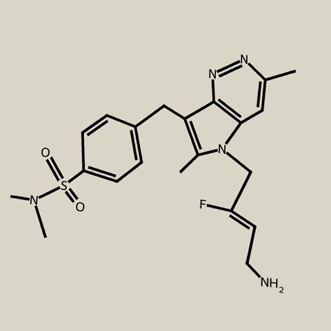 Cc1cc2c(nn1)c(Cc1ccc(S(=O)(=O)N(C)C)cc1)c(C)n2CC(F)=CCN